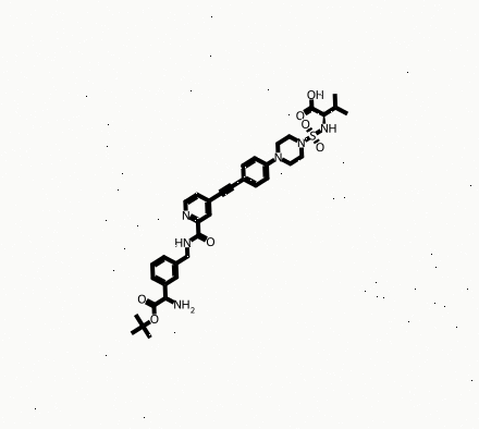 CC(C)[C@@H](NS(=O)(=O)N1CCN(c2ccc(C#Cc3ccnc(C(=O)NCc4cccc(C(N)C(=O)OC(C)(C)C)c4)c3)cc2)CC1)C(=O)O